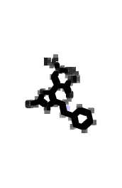 CN(C)C=C(C(=O)O)c1sc(Cl)nc1/C=C/c1ccccc1